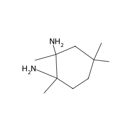 CC1(C)CCC(C)(N)C(C)(N)C1